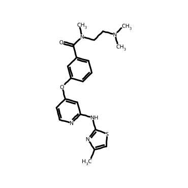 Cc1csc(Nc2cc(Oc3cccc(C(=O)N(C)CCN(C)C)c3)ccn2)n1